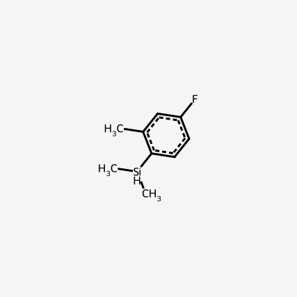 Cc1cc(F)ccc1[SiH](C)C